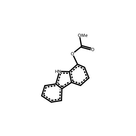 COC(=O)Oc1cccc2c1[nH]c1ccccc12